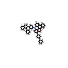 c1ccc(-c2ccc(-c3ccc(N(c4ccc(-c5ccc6ccccc6c5-c5ccccc5)cc4)c4cccc5c6ccccc6c6ccccc6c45)cc3)cc2)cc1